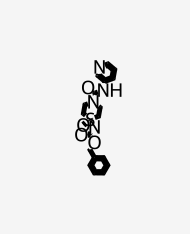 O=C(N=S1(=O)CCN(C(=O)Nc2cccnc2)CC1)OCc1ccccc1